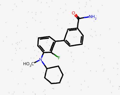 NC(=O)c1cccc(-c2cccc(N(C(=O)O)C3CCCCC3)c2F)c1